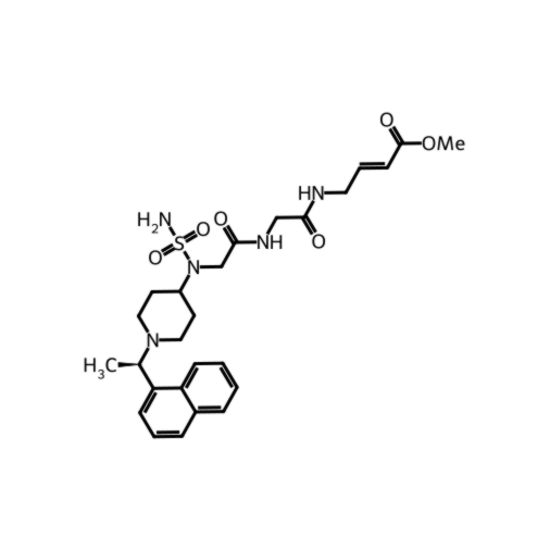 COC(=O)/C=C/CNC(=O)CNC(=O)CN(C1CCN([C@H](C)c2cccc3ccccc23)CC1)S(N)(=O)=O